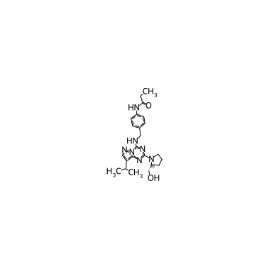 CCC(=O)Nc1ccc(CNc2nc(N3CCC[C@@H]3CO)nc3c(C(C)C)cnn23)cc1